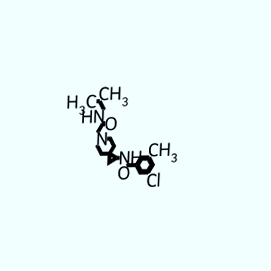 Cc1cc(Cl)cc(C(=O)NC2CC23CCN(CC(=O)NCC(C)C)CC3)c1